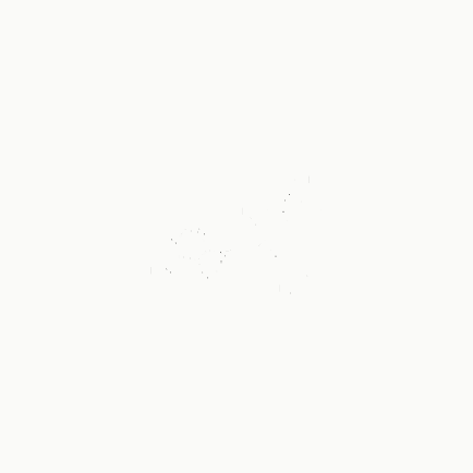 CC(C)(C)[SiH]1OC2[SiH](C(C)(C)C)[C@@]23O[C@@H](n2cnc4c(N)ncnc42)[C@H](O)[C@@H]3O1